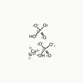 O=P([O-])([O-])O.O=P([O-])([O-])O.[Ca+2].[Sr+2]